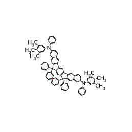 Cc1cc(N(c2ccccc2)c2ccc3cc4c(cc3c2)C(c2ccccc2)(c2ccccc2)c2cc3c(cc2-4)-c2cc4ccc(N(c5ccccc5)c5cc(C)c(C)c(C)c5)cc4cc2C3(c2ccccc2)c2ccccc2)cc(C)c1C